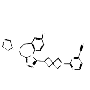 N#Cc1ccnc(N2CC3(CC(c4nnc5n4-c4ccc(Cl)cc4CN([C@@H]4CCOC4)C5)C3)C2)n1